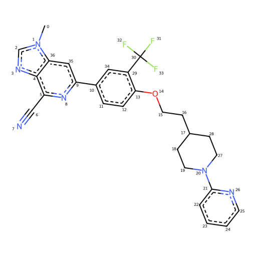 Cn1cnc2c(C#N)nc(-c3ccc(OCCC4CCN(c5ccccn5)CC4)c(C(F)(F)F)c3)cc21